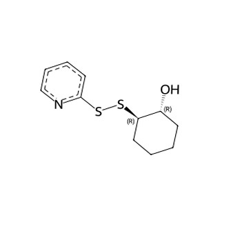 O[C@@H]1CCCC[C@H]1SSc1ccccn1